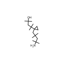 CC(C)(N)CC(C)(C)CC1(C(C)(C)CC(C)(C)O)CC1